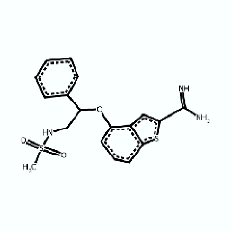 CS(=O)(=O)NCC(Oc1cccc2sc(C(=N)N)cc12)c1ccccc1